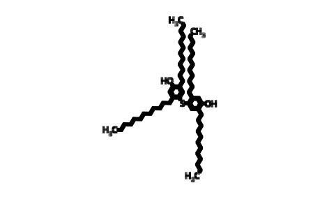 CCCCCCCCCCCCc1cc(Sc2cc(CCCCCCCCCCCC)c(O)cc2CCCCCCCCCCCC)c(CCCCCCCCCCCC)cc1O